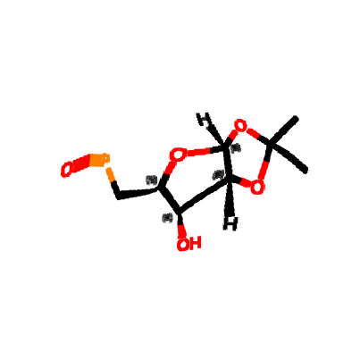 CC1(C)O[C@H]2O[C@H](CP=O)[C@H](O)[C@H]2O1